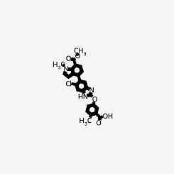 COC(=O)c1ccc(-c2cc3nc(Oc4ccc(C)c(C(=O)O)c4)[nH]c3cc2Cl)c2ccn(C)c12